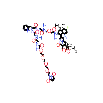 CC[C@@]1(C)C(=O)OCc2c1cc1n(c2=O)Cc2c-1nc1cc(F)c(C)c3c1c2[C@@H](NC(=O)COCNC(=O)CNC(=O)[C@H](Cc1ccccc1)NC(=O)CNC(=O)CNC(=O)COCCOCCOCCOCCN1C(=O)C=CC1=O)C3